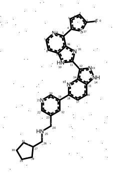 Fc1ccc(-c2nccc3[nH]c(-c4n[nH]c5ccc(-c6cncc(CNCC7CCCC7)c6)nc45)nc23)s1